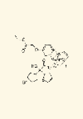 CCOC(=O)COc1cccc(C[N@@+]2(C)[C@@H]3C=C[C@H]2C[C@H](OC(=O)C(O)(c2cccs2)C2CCCC2)C3)c1.[Br-]